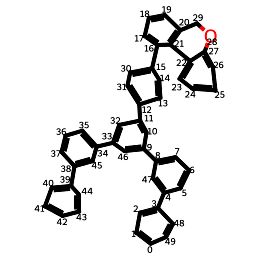 c1ccc(-c2cccc(-c3cc(-c4ccc(-c5cccc6c5-c5ccccc5OC6)cc4)cc(-c4cccc(-c5ccccc5)c4)c3)c2)cc1